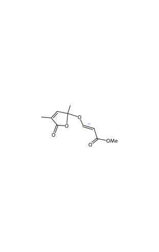 COC(=O)/C=C/OC1(C)C=C(C)C(=O)O1